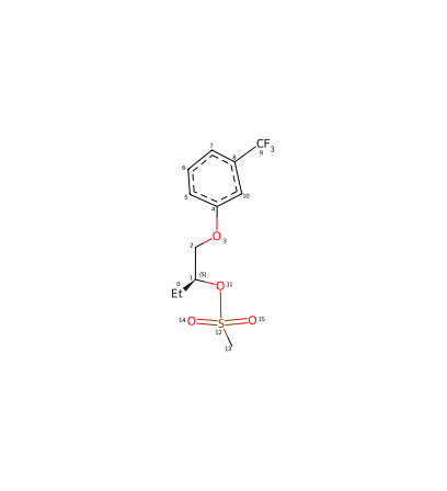 CC[C@@H](COc1cccc(C(F)(F)F)c1)OS(C)(=O)=O